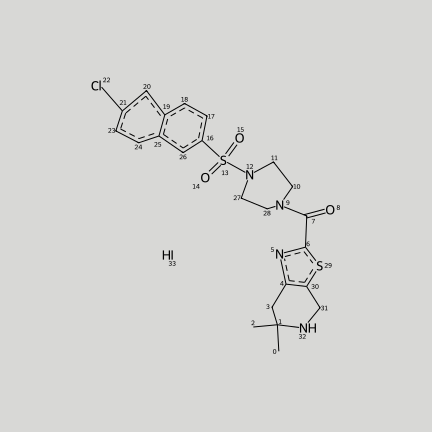 CC1(C)Cc2nc(C(=O)N3CCN(S(=O)(=O)c4ccc5cc(Cl)ccc5c4)CC3)sc2CN1.I